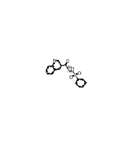 O=C(NNS(=O)(=O)c1ccccc1)c1cnc2ccccc2c1